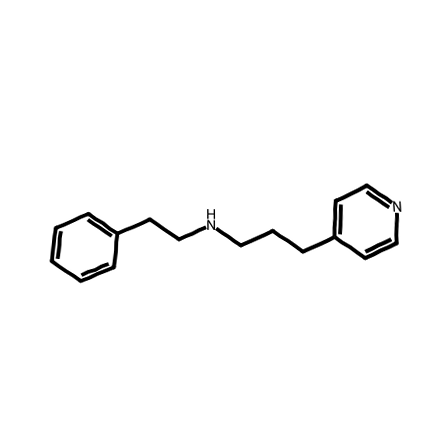 c1ccc(CCNCCCc2ccncc2)cc1